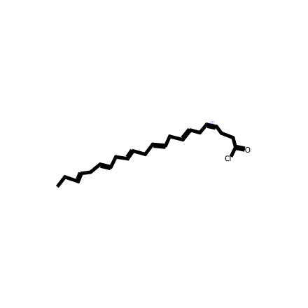 CCC=CCC=CCC=CCC=CCC=CC/C=C\CCC(=O)Cl